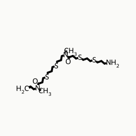 C=CCN(C)C(=O)CCSCCCSCCCN(C)C(=O)CCSCCCSCCCN